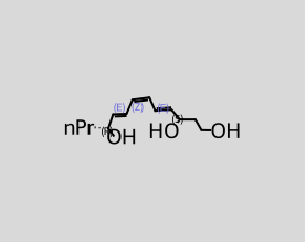 CCC[C@@H](O)/C=C/C=C\C=C\[C@@H](O)CCO